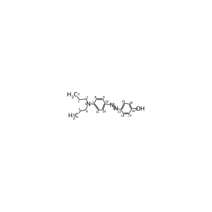 CCCN(CCC)c1ccc(N=Nc2ccc(O)cc2)cc1